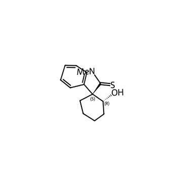 CNC(=S)[C@]1(c2ccccc2)CCCC[C@H]1O